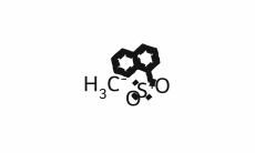 C[S+](C)(=O)C(=O)c1cccc2ccccc12.[CH3-]